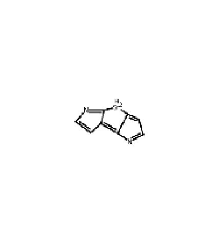 C1=CC2=C3N=CC=[C]3[SnH2][C]2=N1